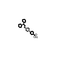 O=C(O)c1ccc(N2CCN(CC=C(c3ccccc3)c3ccccc3)CC2)cc1